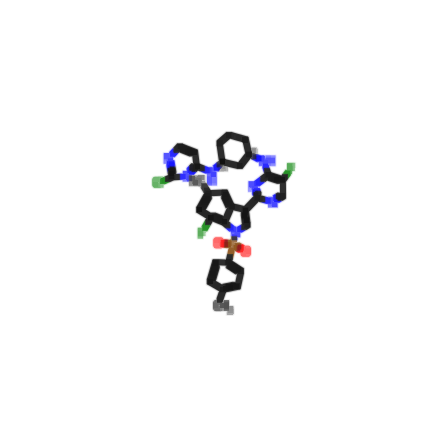 Cc1ccc(S(=O)(=O)n2cc(-c3ncc(F)c(N[C@@H]4CCC[C@H](Nc5ccnc(Cl)n5)C4)n3)c3cc(C#N)cc(F)c32)cc1